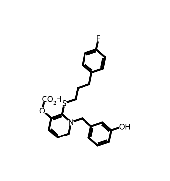 O=C(O)OC1=C(SCCCc2ccc(F)cc2)N(Cc2cccc(O)c2)CC=C1